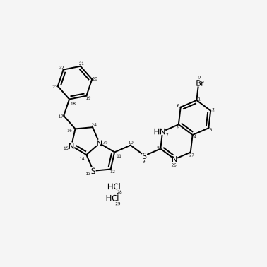 Brc1ccc2c(c1)NC(SCC1=CSC3=NC(Cc4ccccc4)CN13)=NC2.Cl.Cl